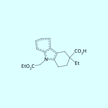 CCOC(=O)Cn1c2c(c3ccccc31)CC(CC)(C(=O)O)CC2